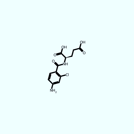 Nc1ccc(C(=O)N[C@H](CCC(=O)O)C(=O)O)c(Cl)c1